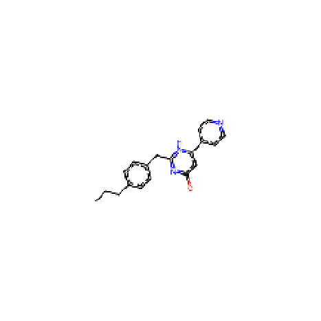 CCCc1ccc(Cc2nc(=O)cc(-c3ccncc3)[nH]2)cc1